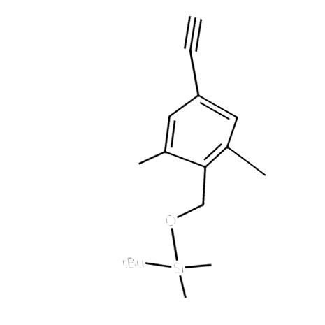 C#Cc1cc(C)c(CO[Si](C)(C)C(C)(C)C)c(C)c1